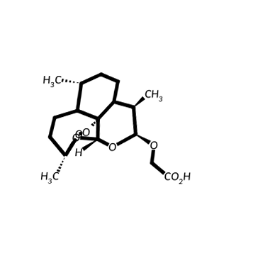 C[C@@H]1CCC2[C@@H](C)[C@@H](OCC(=O)O)O[C@@H]3O[C@]4(C)CCC1[C@@]23OO4